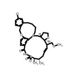 COCC1/C=C/C[C@H](C)[C@@H](C)S(=O)(=O)NC(=O)c2ccc3c(c2)N(CCCCc2cc(Cl)ccc2CO3)C[C@@H]2CCO[C@@H]12